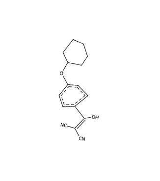 N#CC(C#N)=C(O)c1ccc(OC2CCCCC2)cc1